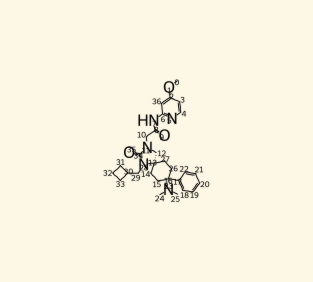 COc1ccnc(NC(=O)CN2C[C@]3(CC[C@@](c4ccccc4)(N(C)C)CC3)N(CC3CCC3)C2=O)c1